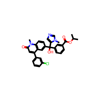 CC(C)OC(=O)c1cccc(C(O)(c2ccc3c(c2)c(-c2cccc(Cl)c2)cc(=O)n3C)c2cncn2C)c1